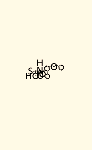 CSCC[C@H](NC(=O)c1ccc(COCc2ccccc2)cc1-c1ccccc1)C(=O)O